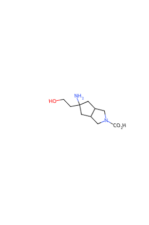 NC1(CCO)CC2CN(C(=O)O)CC2C1